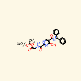 CCOC(=O)OC(C)OC(=O)CNC(=O)c1ncc(C(=O)NC(c2ccccc2)c2ccccc2)c(O)n1